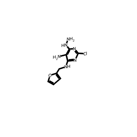 NNc1nc(Cl)nc(NCc2ccco2)c1N